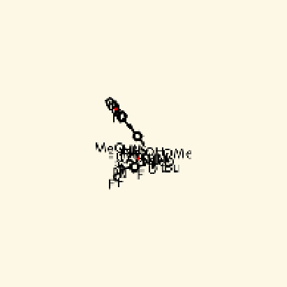 COC(=O)N[C@H](C(=O)NN(Cc1c(F)cc(-c2ccn(CC(F)F)n2)cc1F)C[C@H](O)[C@H](Cc1ccc(C#Cc2ccc(N3CC4CCC(C3)N4C3COC3)nc2)cc1)NC(=O)[C@@H](NC(=O)OC)C(C)(C)C(F)(F)F)C(C)(C)C